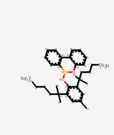 CCOC(=O)CCCC(C)(C)c1cc(C)cc(C(C)(C)CCCC(=O)OCC)c1OP1Oc2ccccc2-c2ccccc21